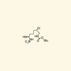 [CH2]CC(CCCC(=N)N[N+](=O)[O-])CNC(=O)OC(C)(C)C